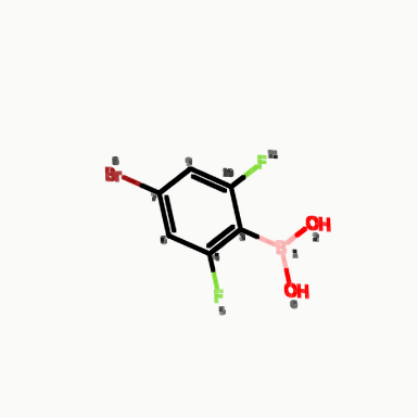 OB(O)c1c(F)cc(Br)cc1F